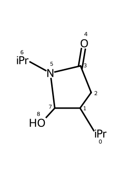 CC(C)C1CC(=O)N(C(C)C)C1O